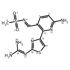 CS(=O)(=O)/N=C/c1ccc(N)nc1-c1csc(N=C(N)N)n1